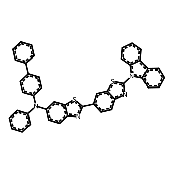 c1ccc(-c2ccc(N(c3ccccc3)c3ccc4nc(-c5ccc6nc(-n7c8ccccc8c8ccccc87)sc6c5)sc4c3)cc2)cc1